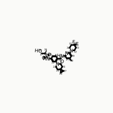 Cc1cc(NC(=O)c2ccc(NS(=O)(=O)[C@H](C)CO)cc2N2CCC3(CC2)CC3)nc(N2CCC(F)(F)CC2)c1